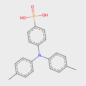 Cc1ccc(N(c2ccc(C)cc2)c2ccc(P(=O)(O)O)cc2)cc1